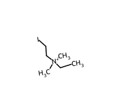 CC[N+](C)(C)CCI